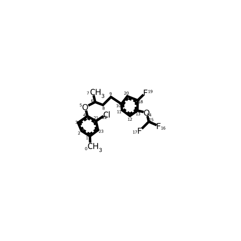 Cc1ccc(OC(C)CCc2ccc(OC(F)F)c(F)c2)c(Cl)c1